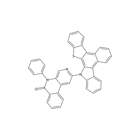 O=c1c2ccccc2c2cc(-n3c4ccccc4c4c5ccccc5c5c6ccccc6sc5c43)ncc2n1-c1ccccc1